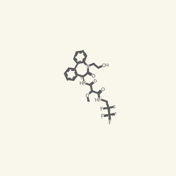 COC(C(=O)NCC(F)(F)C(F)(F)F)C(=O)N[C@@H]1C(=O)N(CCO)c2ccccc2-c2ccccc21